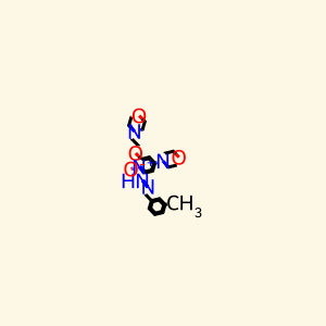 Cc1cccc(C=NNc2cc(N3CCOCC3)cc(OCCN3CCOCC3)[n+]2[O-])c1